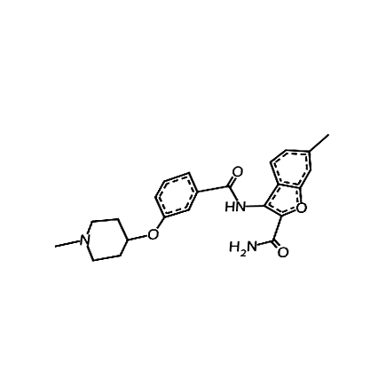 Cc1ccc2c(NC(=O)c3cccc(OC4CCN(C)CC4)c3)c(C(N)=O)oc2c1